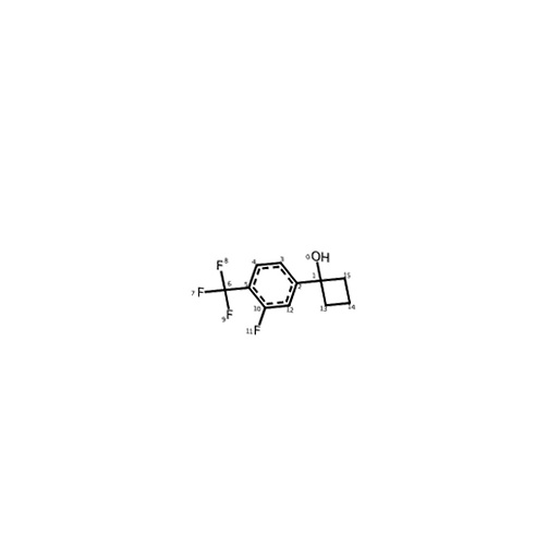 OC1(c2ccc(C(F)(F)F)c(F)c2)CCC1